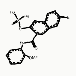 COc1ccccc1NC(=O)c1cc2cc(Br)ccc2cc1OP(=O)(O)O